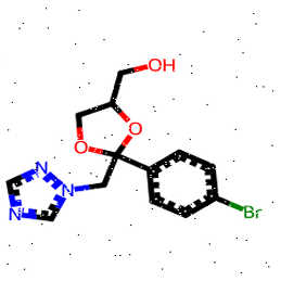 OCC1COC(Cn2cncn2)(c2ccc(Br)cc2)O1